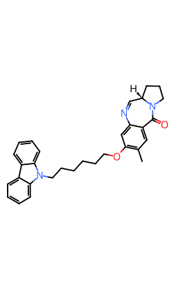 Cc1cc2c(cc1OCCCCCCn1c3ccccc3c3ccccc31)N=C[C@@H]1CCCN1C2=O